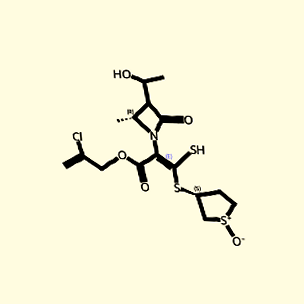 C=C(Cl)COC(=O)/C(=C(/S)S[C@H]1CC[S+]([O-])C1)N1C(=O)C(C(C)O)[C@H]1C